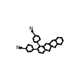 N#Cc1ccc(-c2ccc3cc4cc5ccccc5cc4cc3c2-c2ccc(C#N)cc2)cc1